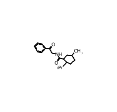 CC1CCC(C(C)C)C(C(=O)NCC(=O)c2ccccc2)C1